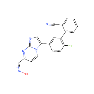 N#Cc1ccccc1-c1cc(-c2cnc3nc(/C=N\O)ccn23)ccc1F